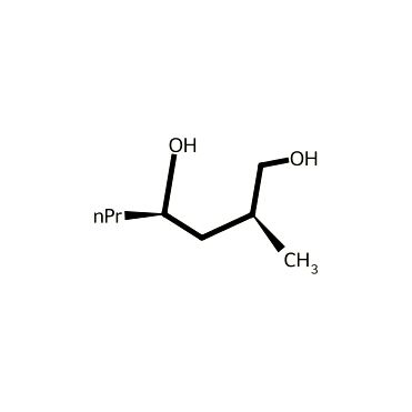 CCC[C@@H](O)C[C@H](C)CO